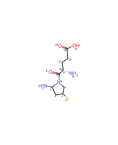 NC1CC(F)CN1C(=O)[C@@H](N)CCC(=O)O